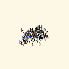 CC1=CC2C3B(c4cc(C(C)(C)C)ccc4N2c2ccc(C(C)(C)C)cc2-c2ccccc2C#N)c2sc4cc5c(cc4c2N(c2ccc(C(C)(C)C)cc2)C3=C1)C(C)(C)CCC5(C)C